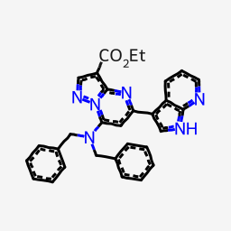 CCOC(=O)c1cnn2c(N(Cc3ccccc3)Cc3ccccc3)cc(-c3c[nH]c4ncccc34)nc12